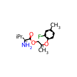 Cc1ccc(O[C@@H](C)COC(=O)[C@@H](N)C(C)C)c(F)c1